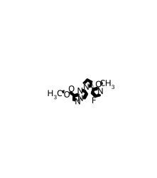 CCOC(=O)c1cnn2ccc(N3CCC[C@@H]3c3cc(F)cnc3OC)nc12